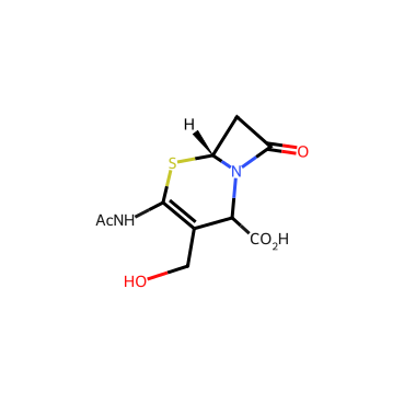 CC(=O)NC1=C(CO)C(C(=O)O)N2C(=O)C[C@H]2S1